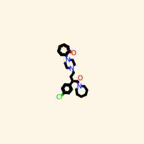 O=C(C(CCN1CCN(c2cccccc2=O)CC1)c1ccc(Cl)cc1)N1CCCCCC1